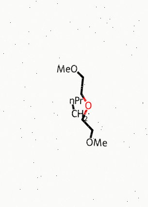 COCCOCCOC.[CH2]CCC